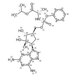 CC(C)OC(=O)[C@H](C)N[P@](=O)(OC[C@H]1C[C@@H](n2cnc3c(N)nc(N)nc32)[C@](C)(O)[C@@H]1O)Oc1ccccc1